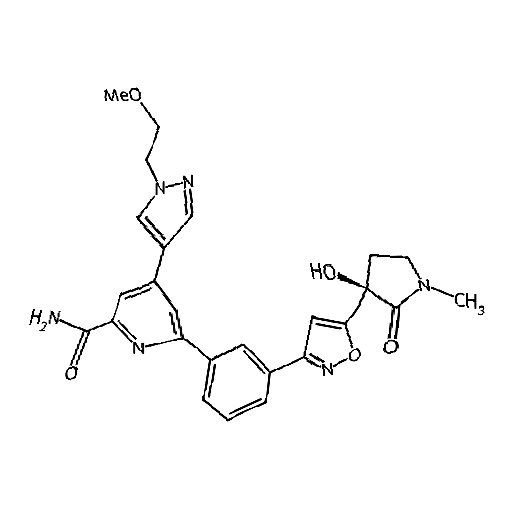 COCCn1cc(-c2cc(C(N)=O)nc(-c3cccc(-c4cc([C@]5(O)CCN(C)C5=O)on4)c3)c2)cn1